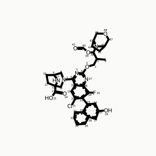 CC(COc1nc(N2CC3CCC(C(=O)O)(C2)N3)c2cc(Cl)c(-c3cc(O)cc4ccccc34)c(F)c2n1)C(OC=O)N1C2CCC1COC2